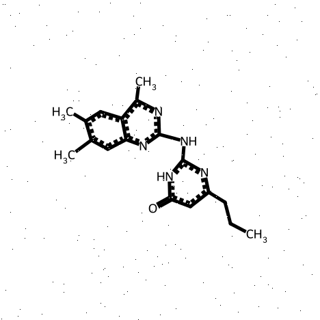 CCCc1cc(=O)[nH]c(Nc2nc(C)c3cc(C)c(C)cc3n2)n1